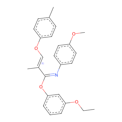 CCOc1cccc(OC(=Nc2ccc(OC)cc2)/C(C)=C/Oc2ccc(C)cc2)c1